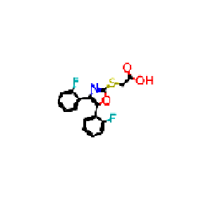 O=C(O)CSc1nc(-c2ccccc2F)c(-c2ccccc2F)o1